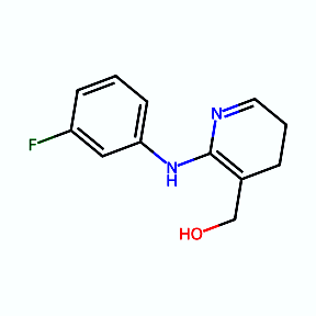 OCC1=C(Nc2cccc(F)c2)N=CCC1